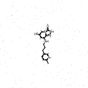 Cc1ccc(CCCNc2cc(Cl)cn3c(=O)[nH]nc23)cn1